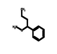 CCCC(ON)c1ccccc1